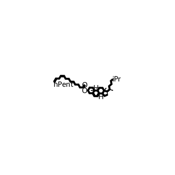 CCCCC/C=C\C/C=C\CCCCCCCC(=O)O[C@H]1CC[C@@]2(C)C(=CC=C3[C@@H]4CC[C@H]([C@H](C)CCCC(C)C)[C@@]4(C)CC[C@@H]32)C1